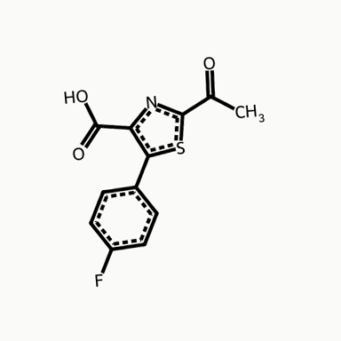 CC(=O)c1nc(C(=O)O)c(-c2ccc(F)cc2)s1